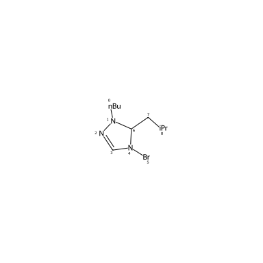 CCCCN1N=CN(Br)C1CC(C)C